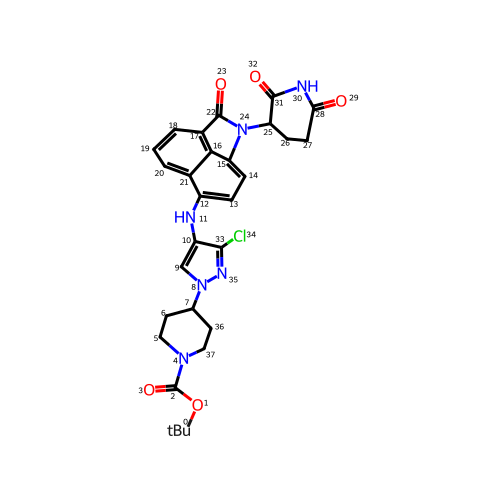 CC(C)(C)OC(=O)N1CCC(n2cc(Nc3ccc4c5c(cccc35)C(=O)N4C3CCC(=O)NC3=O)c(Cl)n2)CC1